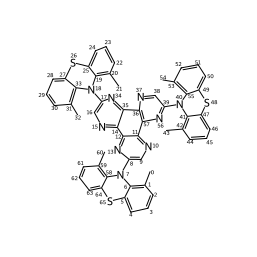 Cc1cccc2c1N(c1cnc3c(n1)c1ncc(N4c5c(C)cccc5Sc5cccc(C)c54)nc1c1ncc(N4c5c(C)cccc5Sc5cccc(C)c54)nc31)c1c(C)cccc1S2